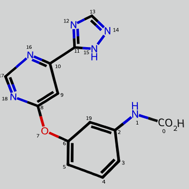 O=C(O)Nc1cccc(Oc2cc(-c3ncn[nH]3)ncn2)c1